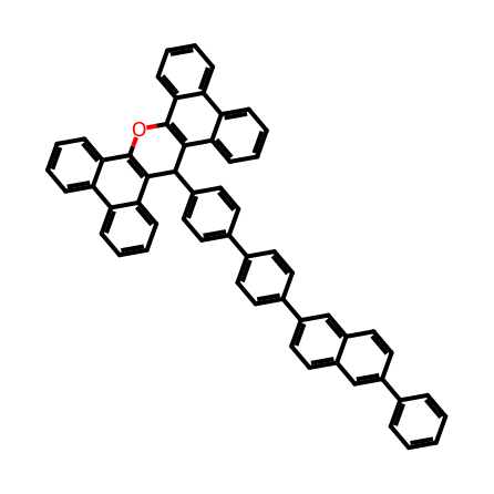 c1ccc(-c2ccc3cc(-c4ccc(-c5ccc(C6c7c(c8ccccc8c8ccccc78)Oc7c6c6ccccc6c6ccccc76)cc5)cc4)ccc3c2)cc1